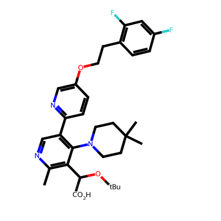 Cc1ncc(-c2ccc(OCCc3ccc(F)cc3F)cn2)c(N2CCC(C)(C)CC2)c1C(OC(C)(C)C)C(=O)O